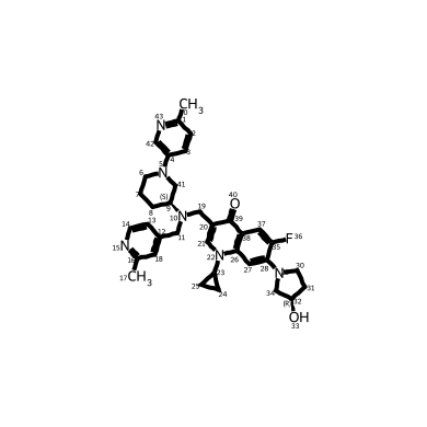 Cc1ccc(N2CCC[C@H](N(Cc3ccnc(C)c3)Cc3cn(C4CC4)c4cc(N5CC[C@@H](O)C5)c(F)cc4c3=O)C2)cn1